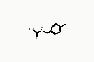 NC(=O)NCc1ccc(I)cc1